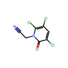 N#CCn1c(Cl)c(Cl)cc(Cl)c1=O